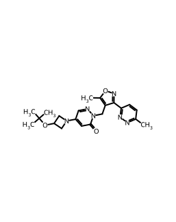 Cc1ccc(-c2noc(C)c2Cn2ncc(N3CC(OC(C)(C)C)C3)cc2=O)nn1